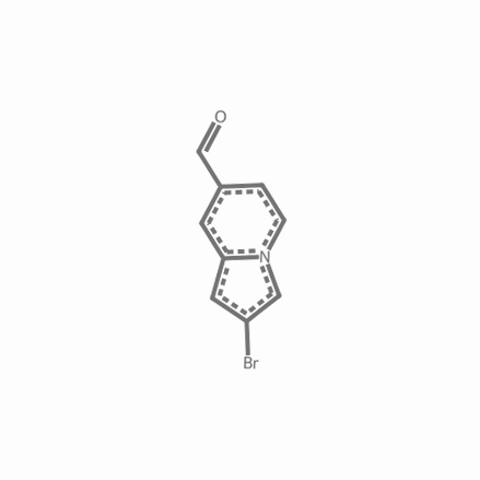 O=Cc1ccn2cc(Br)cc2c1